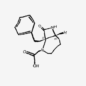 O=C(O)N1CC[C@H]2NC(=O)[C@]21Cc1ccccc1